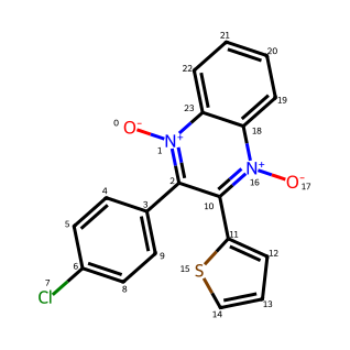 [O-][n+]1c(-c2ccc(Cl)cc2)c(-c2cccs2)[n+]([O-])c2ccccc21